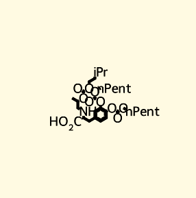 CCCCCOC(=O)Oc1ccc(C[C@H](NCC(C)OC(=O)OCCC(C)C)C(=O)O)cc1OC(=O)OCCCCC